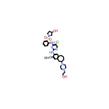 COc1cc2c(cc1Nc1ncc(Cl)c(Nc3ccccc3S(=O)(=O)N3CCC(O)C3)n1)CCCC(N1CCN(CCO)CC1)C2